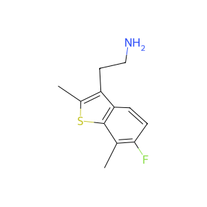 Cc1sc2c(C)c(F)ccc2c1CCN